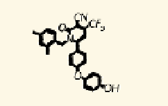 Cc1ccc(Cn2c(-c3ccc(Oc4ccc(O)cc4)cc3)cc(C(F)(F)F)c(C#N)c2=O)c(C)c1